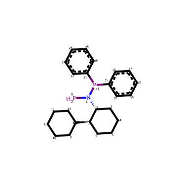 PN([C@@H]1CCCC[C@H]1C1CCCCC1)P(c1ccccc1)c1ccccc1